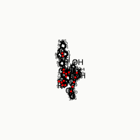 Cc1ncsc1-c1ccc([C@H](C)NC(=O)[C@@H]2C[C@@H](O)CN2C(=O)[C@@H](NC(=O)CCCCCC(=O)N2C3CCC2CN(CC[C@H](CSc2ccccc2)Nc2ccc(S(=O)(=O)NC(=O)c4ccc(N5CCN(CC6=C(c7ccc(Cl)cc7)CCC(C)(C)C6)CC5)cc4)cc2S(=O)(=O)C(F)(F)F)C3)C(C)(C)C)cc1